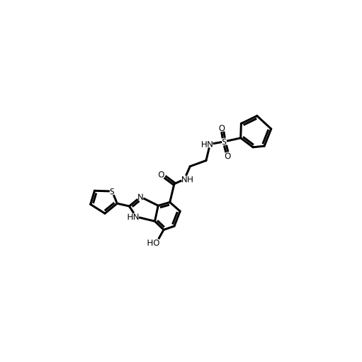 O=C(NCCNS(=O)(=O)c1ccccc1)c1ccc(O)c2[nH]c(-c3cccs3)nc12